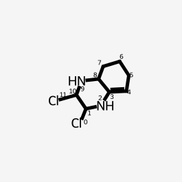 ClC1NC2=CCCCC2NC1Cl